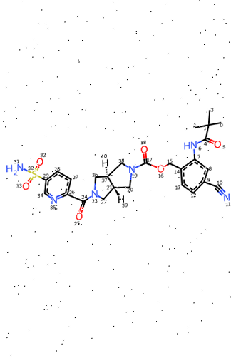 CC(C)(C)C(=O)Nc1cc(C#N)ccc1COC(=O)N1C[C@@H]2CN(C(=O)c3ccc(S(N)(=O)=O)cn3)C[C@H]2C1